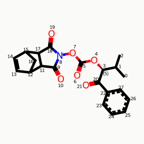 CC(C)[C@H](OC(=O)ON1C(=O)C2C3C=CC(C3)C2C1=O)C(=O)c1ccccc1